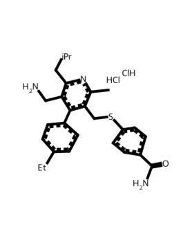 CCc1ccc(-c2c(CSc3ccc(C(N)=O)cc3)c(C)nc(CC(C)C)c2CN)cc1.Cl.Cl